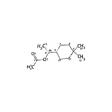 CC(=O)O[C@H](C)C1CCC(C)(C)CC1